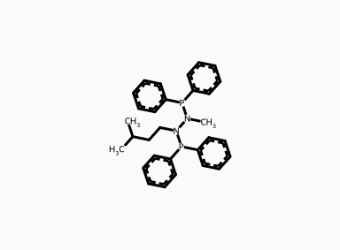 CC(C)CCN(N(C)P(c1ccccc1)c1ccccc1)P(c1ccccc1)c1ccccc1